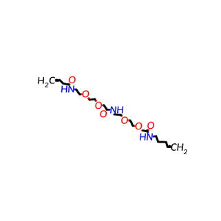 C=CCCCNC(=O)COCCOCCNC(=O)COCCOCCNC(=O)CC=C